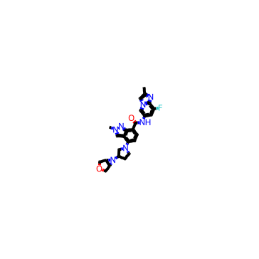 Cc1cn2cc(NC(=O)c3ccc(N4CCC(N5C6COCC65)C4)c4cn(C)nc34)cc(F)c2n1